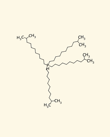 CC(C)CCCCCCCCC[PH](CCCCCCCCCC(C)C)(CCCCCCCCCC(C)C)CCCCCCCCCC(C)C